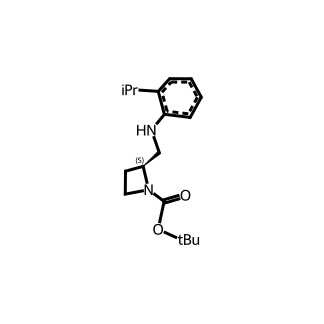 CC(C)c1ccccc1NC[C@@H]1CCN1C(=O)OC(C)(C)C